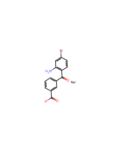 Nc1cc(Br)ccc1C(=O)c1cccc(C(=O)[O-])c1.[Na+]